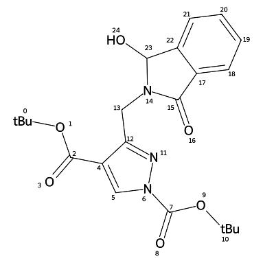 CC(C)(C)OC(=O)c1cn(C(=O)OC(C)(C)C)nc1CN1C(=O)c2ccccc2C1O